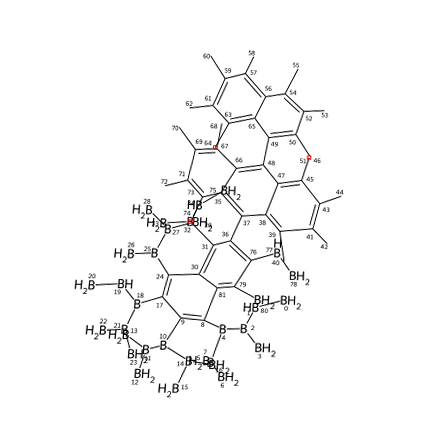 BBB(B)B(B(B)B)c1c(B(B(B)B)B(B)B)c(B(BB)B(B)B)c(B(B)B(B)B)c2c(B(B)BB)c(-c3c4c(C)c(C)c(C)c(C)c4c(-c4c(C)c(C)c(C)c5c(C)c(C)c(C)c(C)c45)c4c(C)c(C)c(C)c(C)c34)c(BB)c(B)c12